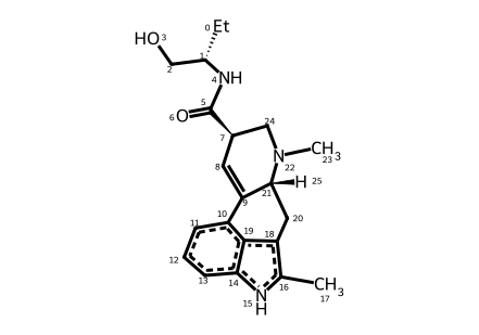 CC[C@@H](CO)NC(=O)[C@@H]1C=C2c3cccc4[nH]c(C)c(c34)C[C@H]2N(C)C1